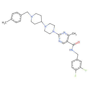 Cc1ccc(CN2CCC(N3CCN(c4ncc(C(=O)NCc5ccc(F)c(F)c5)c(C)n4)CC3)CC2)cc1